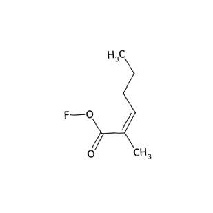 CCCC=C(C)C(=O)OF